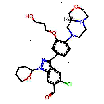 O=Cc1cc2c(cc1Cl)c(-c1ccc(N3CCN4CCOC[C@H]4C3)c(OCCCO)c1)nn2C1CCCCO1